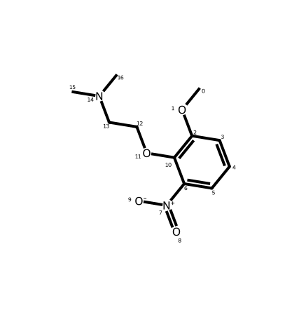 COc1cccc([N+](=O)[O-])c1OCCN(C)C